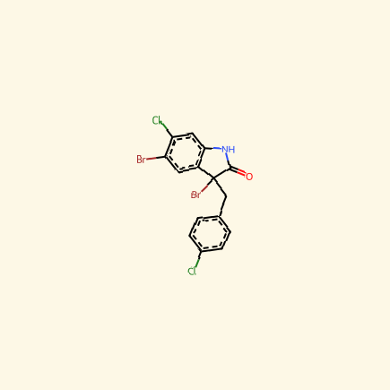 O=C1Nc2cc(Cl)c(Br)cc2C1(Br)Cc1ccc(Cl)cc1